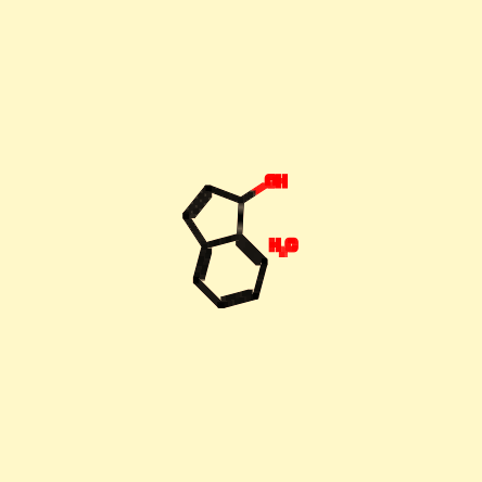 O.OC1C=Cc2ccccc21